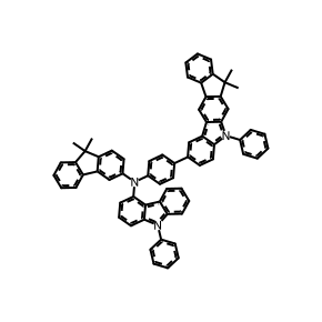 CC1(C)c2ccccc2-c2cc(N(c3ccc(-c4ccc5c(c4)c4cc6c(cc4n5-c4ccccc4)C(C)(C)c4ccccc4-6)cc3)c3cccc4c3c3ccccc3n4-c3ccccc3)ccc21